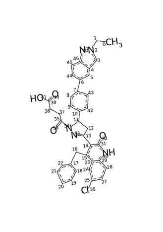 CCn1cc2cc(-c3ccc(C4CC(c5c(Cc6ccccc6)c6cc(Cl)ccc6[nH]c5=O)=NN4C(=O)CCC(=O)O)cc3)ccc2n1